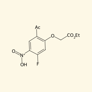 CCOC(=O)COc1cc(F)c([N+](=O)O)cc1C(C)=O